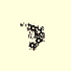 CNc1cc2cc(C(=O)c3cnn(-c4c(C)cc(Oc5ccccc5F)cc4F)c3N)[nH]c2cc1F